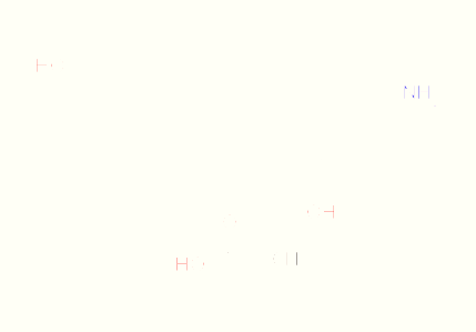 CCC(=O)O.NCC1CCC(C(O)c2ccc(CCCCCCO)cc2)CC1